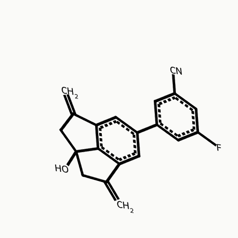 C=C1CC2(O)CC(=C)c3cc(-c4cc(F)cc(C#N)c4)cc1c32